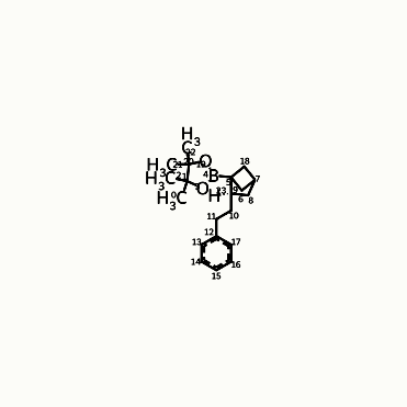 CC1(C)OB(C23CC(C[C@H]2CCc2ccccc2)C3)OC1(C)C